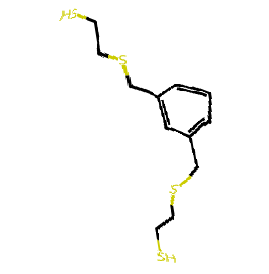 SCCSCc1cccc(CSCCS)c1